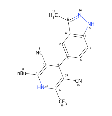 CCCCC1=C(C#N)C(c2ccc3[nH]nc(C)c3c2)C(C#N)=C(C(F)(F)F)N1